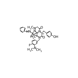 C[C@@H]1[C@H]2N(C(=O)CN(C)N2C(=O)NCc2ccccc2)[C@@H](Cc2ccc(O)cc2)C(=O)N1Cc1ccc(F)c(N(C)C)c1